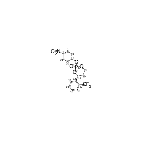 O=[N+]([O-])c1ccc(O[P@]2(=O)OCC[C@@H](c3ccccc3C(F)(F)F)O2)cc1